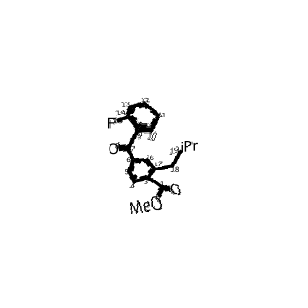 COC(=O)c1ccc(C(=O)c2ccccc2F)cc1CC(C)C